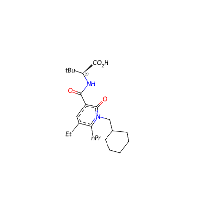 CCCc1c(CC)cc(C(=O)N[C@H](C(=O)O)C(C)(C)C)c(=O)n1CC1CCCCC1